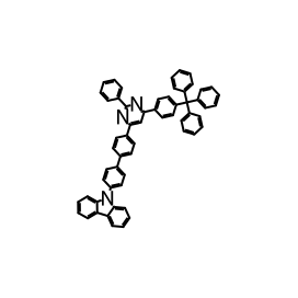 c1ccc(-c2nc(-c3ccc(-c4ccc(-n5c6ccccc6c6ccccc65)cc4)cc3)cc(-c3ccc(C(c4ccccc4)(c4ccccc4)c4ccccc4)cc3)n2)cc1